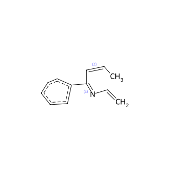 C=C/N=C(\C=C/C)c1ccccc1